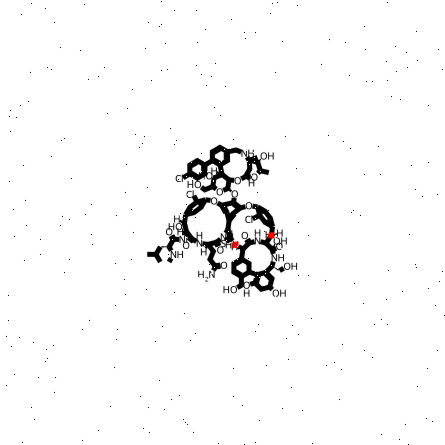 CN[C@H](CC(C)C)C(=O)N[C@H]1C(=O)N[C@@H](CCC(N)=O)C(=O)N[C@H]2C(=S)N[C@H]3C(=O)N[C@H](C(=O)N[C@H](CO)C4=CC(O)CC(O)=C4C4CC3=CC=C4CO)[C@H](O)C3=CC=C(Oc4cc2cc(c4O[C@H]2OC(CO)C(O)[C@@H]4c5cc(ccc5-c5ccc(Cl)cc5)CNC5(C)C[C@H](OC24)OC(C)[C@H]5O)OC2=C(Cl)C=C(CC2)[C@H]1O)C(Cl)C3